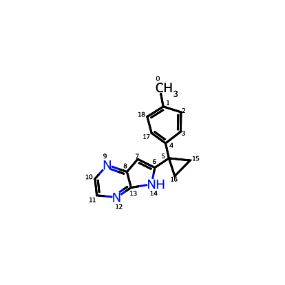 Cc1ccc(C2(c3cc4nccnc4[nH]3)CC2)cc1